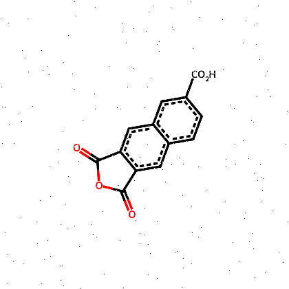 O=C(O)c1ccc2cc3c(cc2c1)C(=O)OC3=O